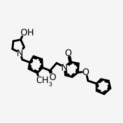 Cc1cc(CN2CCC(O)C2)ccc1C(=O)Cn1ccc(OCc2ccccc2)cc1=O